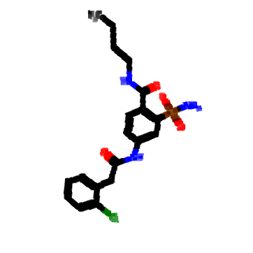 NS(=O)(=O)c1cc(NC(=O)Cc2ccccc2Cl)ccc1C(=O)NCCCC(F)(F)F